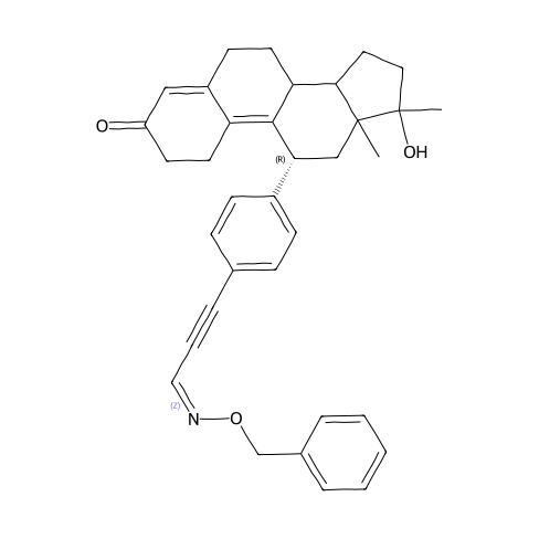 CC1(O)CCC2C3CCC4=CC(=O)CCC4=C3[C@@H](c3ccc(C#C/C=N\OCc4ccccc4)cc3)CC21C